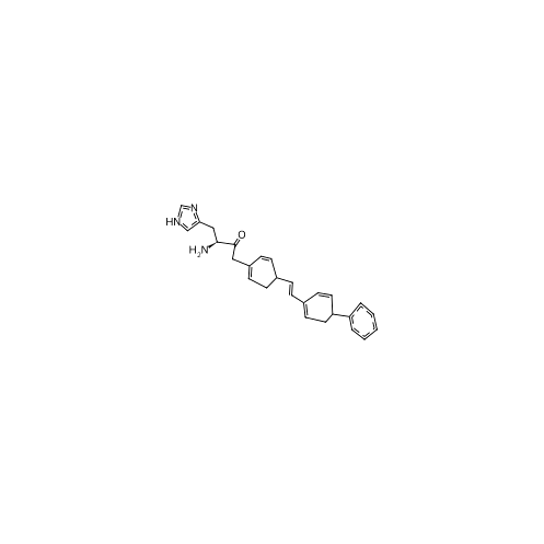 N[C@@H](Cc1c[nH]cn1)C(=O)CC1=CCC(/C=C/C2=CCC(c3ccccc3)C=C2)C=C1